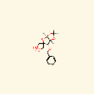 CC1(C)O[C@@H]2OC(CO)(CO)[C@@H](OCc3ccccc3)[C@H]2O1